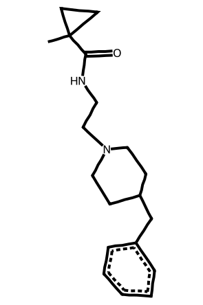 CC1(C(=O)NCCN2CCC(Cc3ccccc3)CC2)CC1